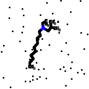 CCCCCCCCCCN(CC)CC(C)C